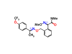 CNC(=O)/C(=N/OC)c1ccccc1CO/N=C(\C)c1ccc(OC(F)(F)F)cc1